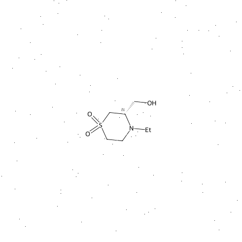 CCN1CCS(=O)(=O)C[C@@H]1CO